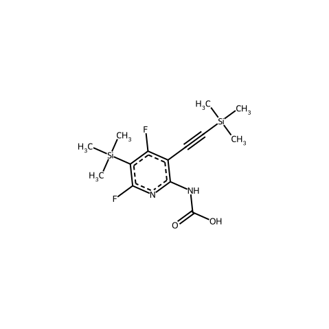 C[Si](C)(C)C#Cc1c(NC(=O)O)nc(F)c([Si](C)(C)C)c1F